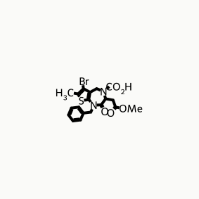 COC(=O)CC1C(=O)N(Cc2ccccc2)c2sc(C)c(Br)c2CN1C(=O)O